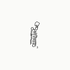 O=C(ON1CCCCC1)C(F)(F)C(F)(F)C(F)(F)C(F)(F)C(F)(F)C(F)(F)C(F)(F)F